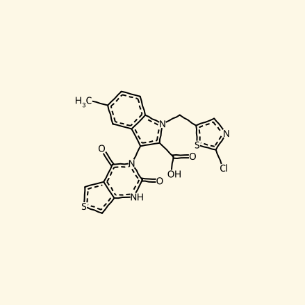 Cc1ccc2c(c1)c(-n1c(=O)[nH]c3cscc3c1=O)c(C(=O)O)n2Cc1cnc(Cl)s1